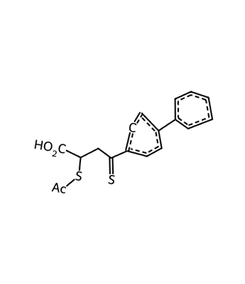 CC(=O)SC(CC(=S)c1ccc(-c2ccccc2)cc1)C(=O)O